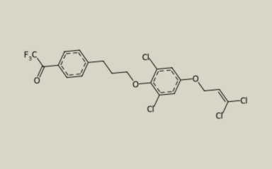 O=C(c1ccc(CCCOc2c(Cl)cc(OCC=C(Cl)Cl)cc2Cl)cc1)C(F)(F)F